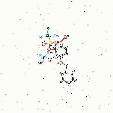 O=Cc1ccc(OCc2ccccc2)c(CC(F)(F)F)c1OS(=O)(=O)C(F)(F)F